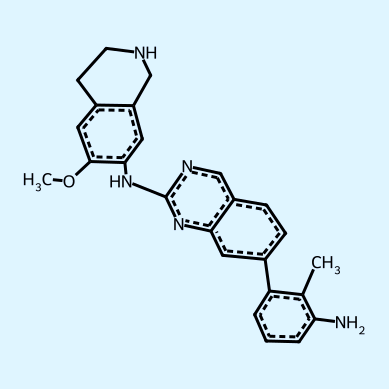 COc1cc2c(cc1Nc1ncc3ccc(-c4cccc(N)c4C)cc3n1)CNCC2